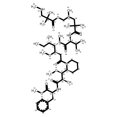 CC[C@H](C)[C@@H]([C@@H](CC(=O)N1CCCC[C@H]1[C@H](OC)[C@@H](C)C(=O)N[C@@H](Cc1ccccc1)C(=O)OC)OC)N(C)C(=O)[C@@H](NC(=O)C(C)(C)CN(C)COC(=O)C(C)(C)CNC)C(C)C